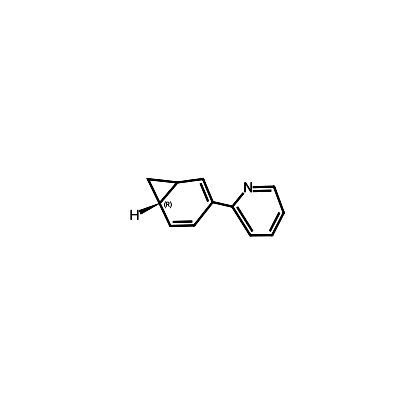 C1=C[C@@H]2CC2C=C1c1ccccn1